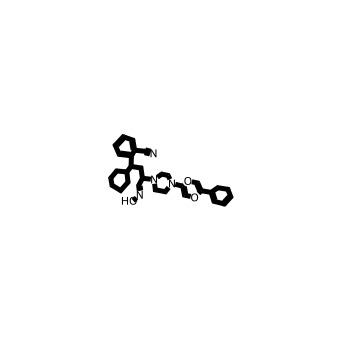 N#Cc1ccccc1C(CC(C=NO)N1CCN(C2=COC(C3=CC=CCC3)=CO2)CC1)C1CCCCC1